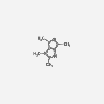 Cc1sc(C)c2c1nc(C)n2C